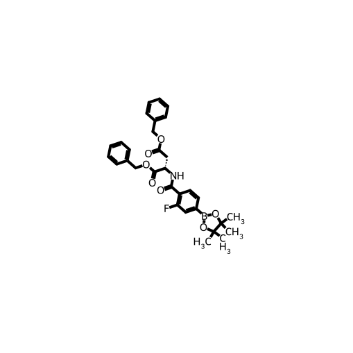 CC1(C)OB(c2ccc(C(=O)N[C@@H](CC(=O)OCc3ccccc3)C(=O)OCc3ccccc3)c(F)c2)OC1(C)C